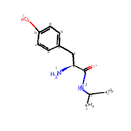 CC(C)NC(=O)[C@@H](N)Cc1ccc(O)cc1